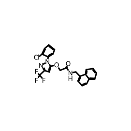 O=C(COc1cc(C(F)(F)F)nn1-c1ccccc1Cl)NCc1cccc2ccccc12